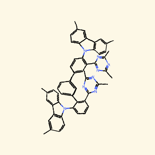 Cc1ccc2c(c1)c1cc(C)ccc1n2-c1ccc(-c2cccc(-c3c(-c4nc(C)nc(C)n4)cccc3-n3c4ccc(C)cc4c4cc(C)ccc43)c2)cc1-c1nc(C)nc(C)n1